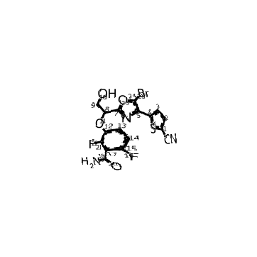 N#Cc1ccc(-c2nc(C(CO)Oc3ccc(F)c(C(N)=O)c3F)oc2Br)s1